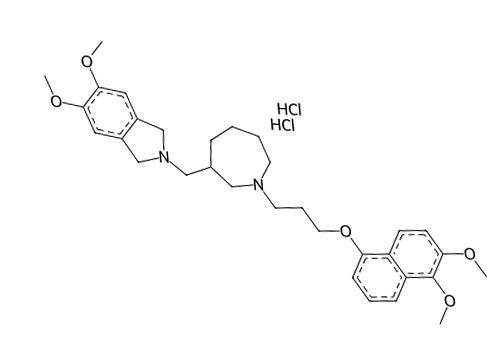 COc1cc2c(cc1OC)CN(CC1CCCCN(CCCOc3cccc4c(OC)c(OC)ccc34)C1)C2.Cl.Cl